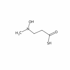 CN(O)CCC(=O)S